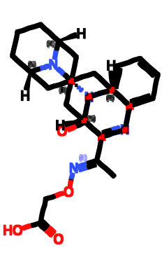 C/C(=N\OCC(=O)O)c1nc2ccccc2n([C@H]2C[C@H]3CCC[C@@H](C2)N3C2C[C@H]3CCC[C@@H](C2)C3)c1=O